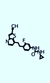 C#Cc1cc2nccc(CCc3ccc(NC(=O)NC4CC4)cc3F)c2s1